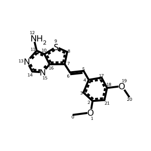 COc1cc(C=Cc2csc3c(N)ncnc23)cc(OC)c1